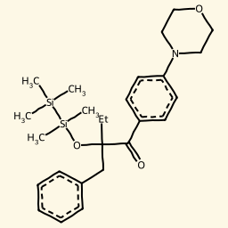 CCC(Cc1ccccc1)(O[Si](C)(C)[Si](C)(C)C)C(=O)c1ccc(N2CCOCC2)cc1